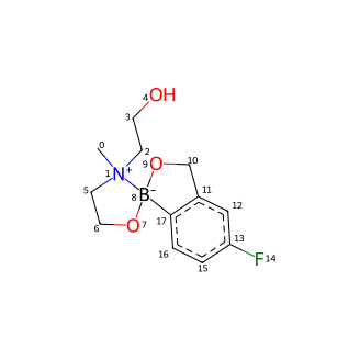 C[N+]1(CCO)CCO[B-]12OCc1cc(F)ccc12